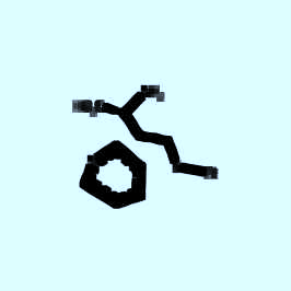 CCSCC[C@H](N)C(=O)O.c1ccncc1